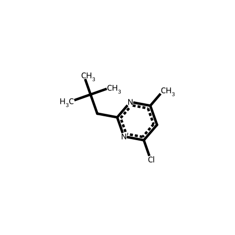 Cc1cc(Cl)nc(CC(C)(C)C)n1